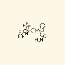 NC(=O)Cc1cc2ccccc2n1-c1ccc(-n2nc(C(F)(F)F)cc2C(F)(F)F)cc1